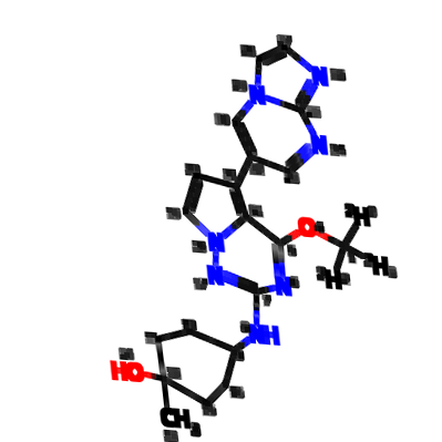 [2H]C([2H])([2H])Oc1nc(NC2CCC(C)(O)CC2)nn2ccc(-c3cnc4nccn4c3)c12